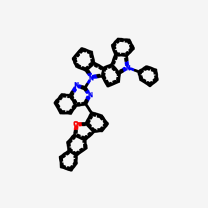 c1ccc(-n2c3ccccc3c3c4c5ccccc5n(-c5nc(-c6cccc7c6oc6cc8ccccc8cc67)c6ccccc6n5)c4ccc32)cc1